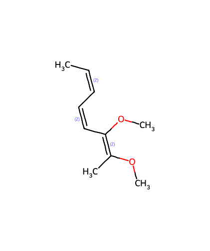 C\C=C/C=C\C(OC)=C(/C)OC